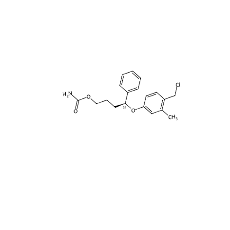 Cc1cc(O[C@@H](CCCOC(N)=O)c2ccccc2)ccc1CCl